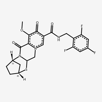 COc1c2n(cc(C(=O)NCc3c(F)cc(F)cc3F)c1=O)CC1S[C@@H]3CC[C@@H](C3)N1C2=O